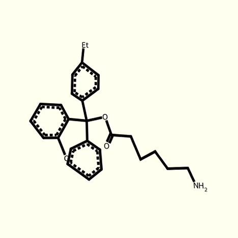 CCc1ccc(C(OC(=O)CCCCCN)(c2ccccc2)c2ccccc2Cl)cc1